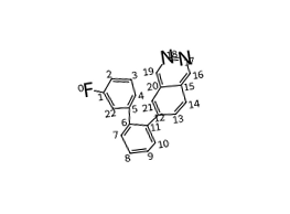 Fc1cccc(-c2ccccc2-c2ccc3cnncc3c2)c1